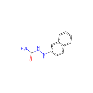 NC(=O)NNc1ccc2ccccc2c1